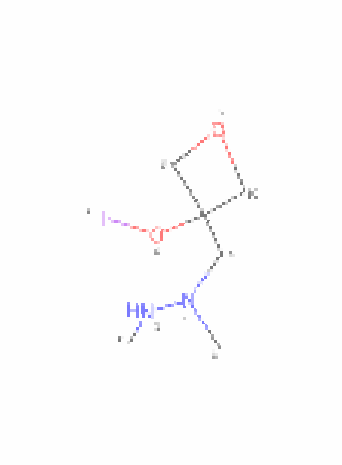 CNN(C)CC1(OI)COC1